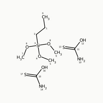 CCC[Si](OC)(OC)OC.NC(O)=S.NC(O)=S